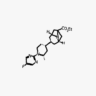 CCOC(=O)C12C[C@H]3C[C@H]([C@H]4CCN(c5ncc(F)cn5)[C@@H](C)C4)C[C@@H](C1)N32